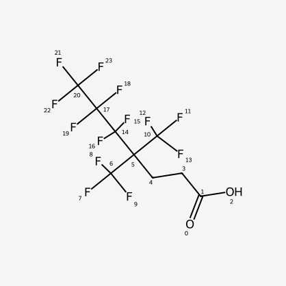 O=C(O)CCC(C(F)(F)F)(C(F)(F)F)C(F)(F)C(F)(F)C(F)(F)F